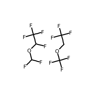 FC(F)(F)COC(F)(F)F.FC(F)OC(F)C(F)(F)F